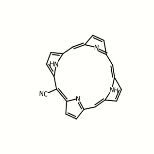 N#Cc1c2nc(cc3ccc(cc4nc(cc5ccc1[nH]5)C=C4)[nH]3)C=C2